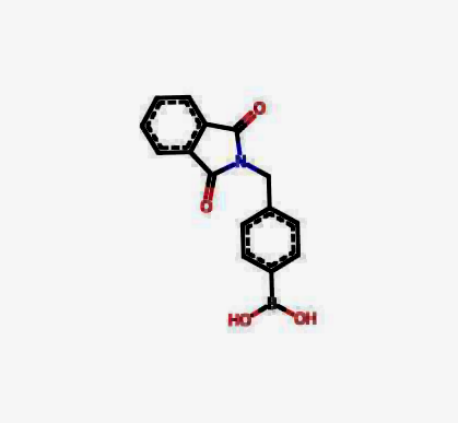 O=C1c2ccccc2C(=O)N1Cc1ccc(B(O)O)cc1